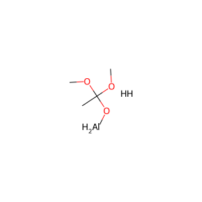 COC(C)(OC)[O][AlH2].[HH]